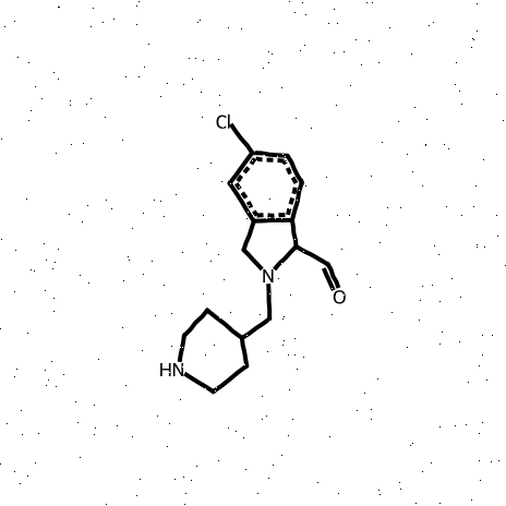 O=CC1c2ccc(Cl)cc2CN1CC1CCNCC1